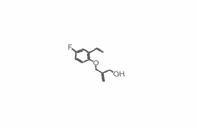 C=C(CO)COc1ccc(F)cc1CC